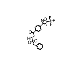 O=C(CNS(=O)(=O)Cc1ccccc1)c1ccc(-c2noc(C(F)(F)F)n2)cc1